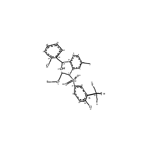 COCN(c1cc(C)cnc1C(O)c1ccccc1Cl)S(=O)(=O)c1ccc(Cl)c(C(F)(F)F)c1